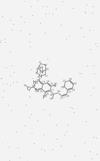 COc1nc(N2CC3CCC(C2)N3)c2cc(F)c(C(C)C/C=C\C3=CC=CCC3)c(F)c2n1